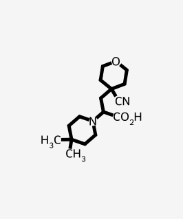 CC1(C)CCN(C(CC2(C#N)CCOCC2)C(=O)O)CC1